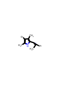 CCc1c(C)[nH]c(/C=C(\C)C(C)C)c1C